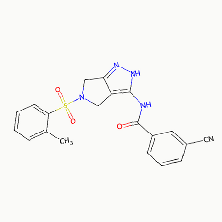 Cc1ccccc1S(=O)(=O)N1Cc2n[nH]c(NC(=O)c3cccc(C#N)c3)c2C1